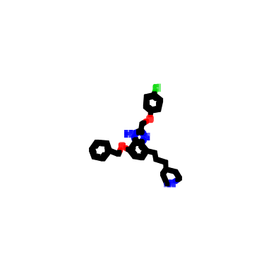 Clc1ccc(OCc2nc3c(CCCC4CCNCC4)ccc(OCc4ccccc4)c3[nH]2)cc1